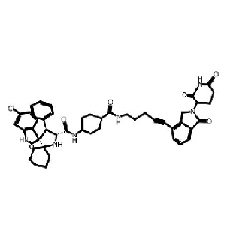 O=C1CCC(N2Cc3c(C#CCCCNC(=O)C4CCC(NC(=O)[C@@H]5NC6(CCCCC6)[C@@]6(C(=O)Nc7cc(Cl)ccc76)[C@H]5c5ccccc5)CC4)cccc3C2=O)C(=O)N1